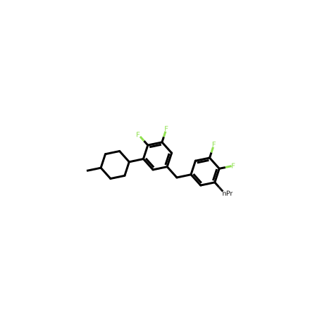 CCCc1cc(Cc2cc(F)c(F)c(C3CCC(C)CC3)c2)cc(F)c1F